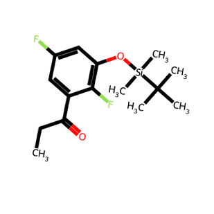 CCC(=O)c1cc(F)cc(O[Si](C)(C)C(C)(C)C)c1F